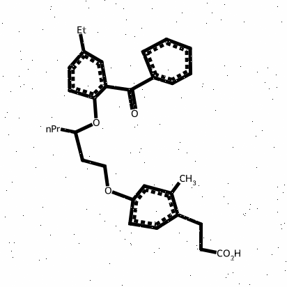 CCCC(CCOc1ccc(CCC(=O)O)c(C)c1)Oc1ccc(CC)cc1C(=O)c1ccccc1